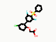 O=C(O)COc1ccc(Cl)cc1-c1cc(F)c(S(=O)(=O)c2ccccc2)c(F)c1